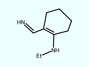 CCNC1=C(C=N)CCCC1